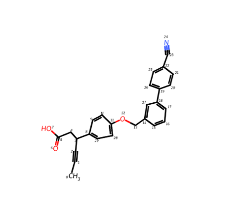 CC#CC(CC(=O)O)c1ccc(OCc2cccc(-c3ccc(C#N)cc3)c2)cc1